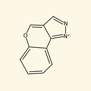 C1=N[N+]=C2C1=COc1ccccc12